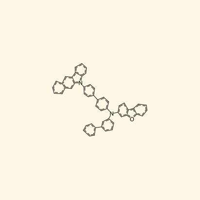 c1ccc(-c2cccc(N(c3ccc(-c4ccc(-n5c6ccccc6c6cc7ccccc7cc65)cc4)cc3)c3ccc4c(c3)oc3ccccc34)c2)cc1